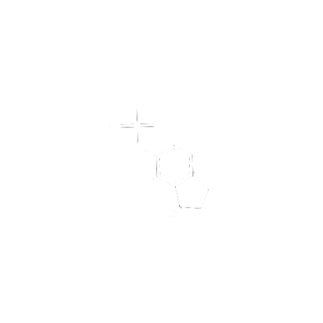 CS(=O)(=O)Oc1ccc2c(c1)C(=O)CC2